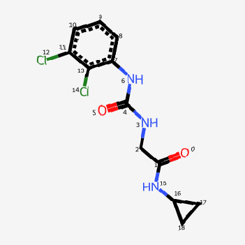 O=C(CNC(=O)Nc1cccc(Cl)c1Cl)NC1CC1